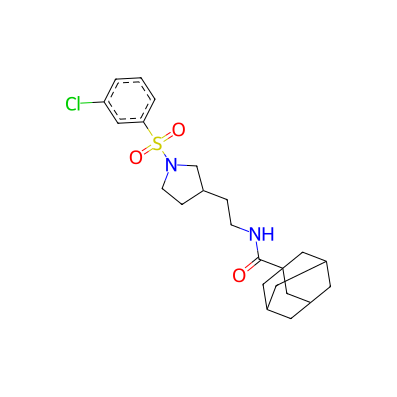 O=C(NCCC1CCN(S(=O)(=O)c2cccc(Cl)c2)C1)C12CC3CC(CC(C3)C1)C2